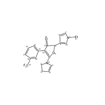 CCn1ccc(C2OC(N3C=CCC3)=C(c3cccc(C(F)(F)F)c3)C2=O)c1